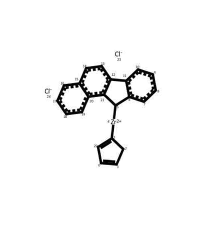 C1=CC[C]([Zr+2][CH]2c3ccccc3-c3ccc4ccccc4c32)=C1.[Cl-].[Cl-]